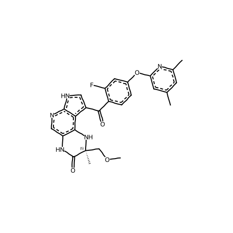 COC[C@]1(C)Nc2c(cnc3[nH]cc(C(=O)c4ccc(Oc5cc(C)cc(C)n5)cc4F)c23)NC1=O